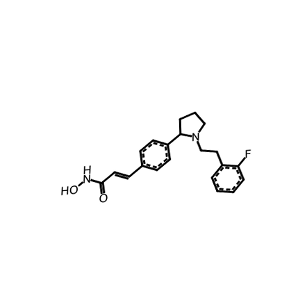 O=C(C=Cc1ccc(C2CCCN2CCc2ccccc2F)cc1)NO